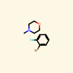 CN1CCOCC1.Fc1ccccc1Br